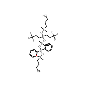 C=C[Si](C)(O[Si](CCC(F)(F)F)(CCC(F)(F)F)O[Si](C)(C)CCCO)O[Si](O[Si](C)(C)CCCO)(c1ccccc1)c1ccccc1